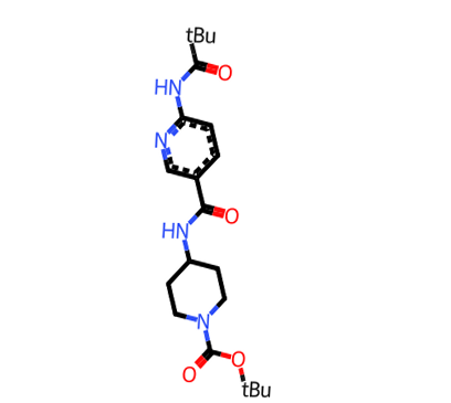 CC(C)(C)OC(=O)N1CCC(NC(=O)c2ccc(NC(=O)C(C)(C)C)nc2)CC1